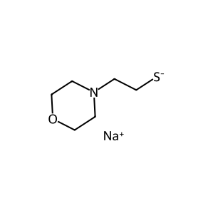 [Na+].[S-]CCN1CCOCC1